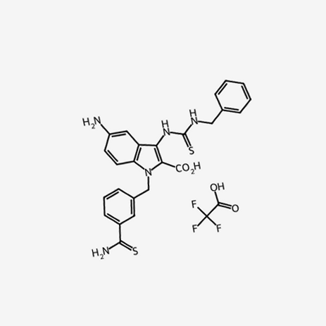 NC(=S)c1cccc(Cn2c(C(=O)O)c(NC(=S)NCc3ccccc3)c3cc(N)ccc32)c1.O=C(O)C(F)(F)F